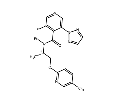 CCN(C(=O)c1c(F)cncc1-n1nccn1)[C@@H](C)COc1ccc(C(F)(F)F)cn1